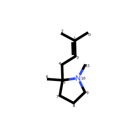 CC(C)=CCC1(C)CCCN1C